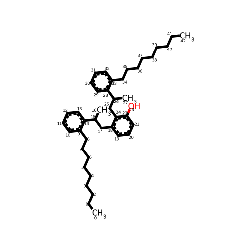 CCCCCCCCCc1ccccc1C(C)Cc1cccc(O)c1CC(C)c1ccccc1CCCCCCCCC